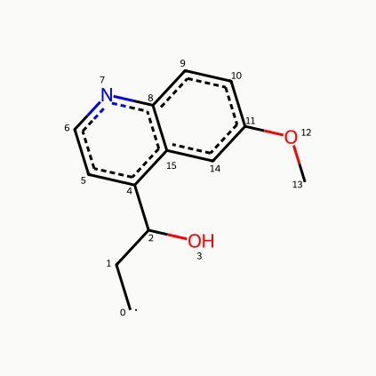 [CH2]CC(O)c1ccnc2ccc(OC)cc12